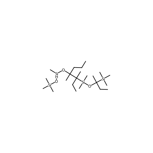 CCCC(C)(O[SiH](C)O[Si](C)(C)C)C(C)(CC)[Si](C)(C)OC(C)(CC)[Si](C)(C)C